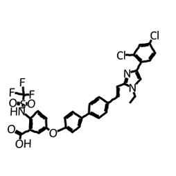 CCn1cc(-c2ccc(Cl)cc2Cl)nc1/C=C/c1ccc(-c2ccc(Oc3ccc(NS(=O)(=O)C(F)(F)F)c(C(=O)O)c3)cc2)cc1